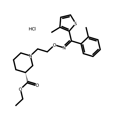 CCOC(=O)[C@@H]1CCCN(CCON=C(c2ccccc2C)c2sccc2C)C1.Cl